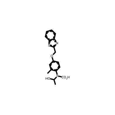 Cc1cc(OCc2nc3ccccc3s2)ccc1N(C(=O)O)C(C)O